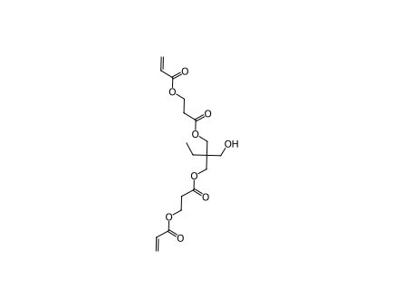 C=CC(=O)OCCC(=O)OCC(CC)(CO)COC(=O)CCOC(=O)C=C